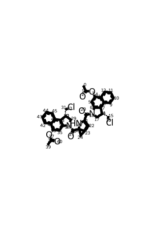 CC(=O)Oc1cc2c(c3ccccc13)[C@H](CCl)CN2C(=O)C1=C=C2CC2(C(=O)N2C[C@@H](CCl)c3c2cc(OC(C)=O)c2ccccc32)N1